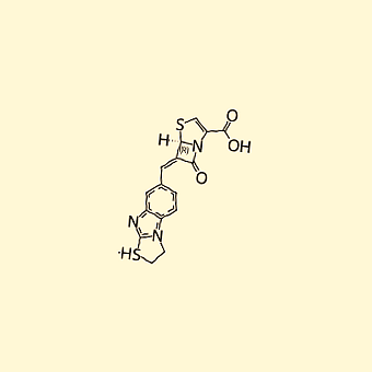 O=C(O)C1=CS[C@@H]2C(=Cc3ccc4c(c3)nc3n4CC[SH]3)C(=O)N12